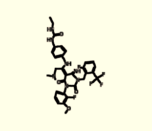 CCNC(=O)Nc1ccc(N/C(CN(C)C)=C2\C(=N)N(Cc3c(F)cccc3C(F)(F)F)C(=O)N(c3cccc(OC)c3F)C2=O)cc1